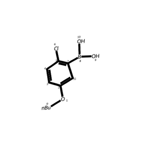 CCCCOc1ccc(Cl)c(B(O)O)c1